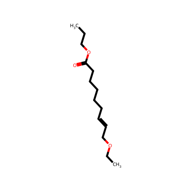 CCCOC(=O)CCCCCC=CCOCC